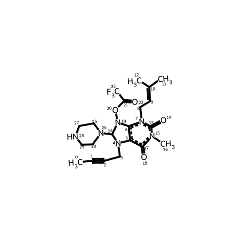 CC#CCN1c2c(n(CC=C(C)C)c(=O)n(C)c2=O)N(OC(=O)C(F)(F)F)C1N1CCNCC1